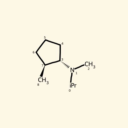 CC(C)N(C)[C@H]1CCC[C@@H]1C